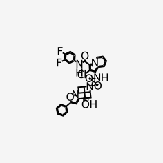 O=C(Nc1ccc(F)c(F)c1)c1c(Cl)c(NS(=O)(=O)N2C3CCC34C2C[C@]4(O)c2cc(-c3ccccc3)on2)c2ccccn12